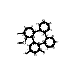 COc1c(C)ccc2c1-c1cc(C)cc(C)c1-c1ccccc1-c1ccccc1-2